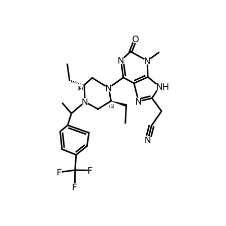 CC[C@H]1CN(C(C)c2ccc(C(F)(F)F)cc2)[C@H](CC)CN1c1nc(=O)n(C)c2[nH]c(CC#N)nc12